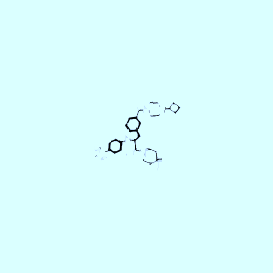 CS(=O)(=O)c1ccc(-n2c(C(=O)N3CCC(F)(F)CC3)cc3cc(C(=O)N4CCN(C5CCC5)CC4)ccc32)cc1